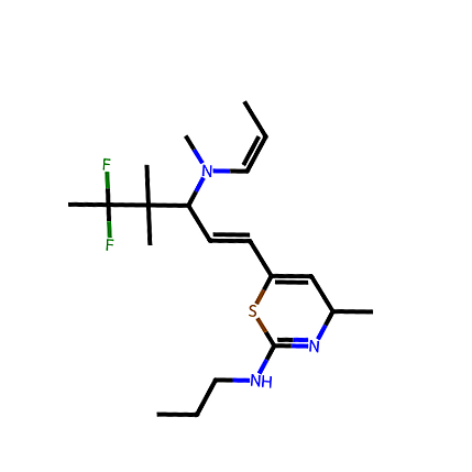 C/C=C\N(C)C(/C=C/C1=CC(C)N=C(NCCC)S1)C(C)(C)C(C)(F)F